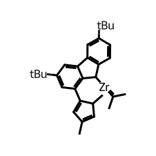 CC1=CC(C)C(c2cc(C(C)(C)C)cc3c2[CH]([Zr]=[C](C)C)c2ccc(C(C)(C)C)cc2-3)=C1